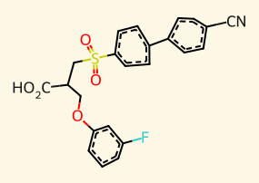 N#Cc1ccc(-c2ccc(S(=O)(=O)CC(COc3cccc(F)c3)C(=O)O)cc2)cc1